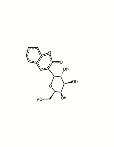 O=c1oc2ccccc2cc1C1O[C@H](CO)[C@H](O)[C@H](O)[C@H]1O